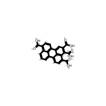 O=C(O)c1cc2c3ccc(C(=O)O)c4cccc(c5ccc(C(=O)O)c(c1C(=O)O)c52)c43